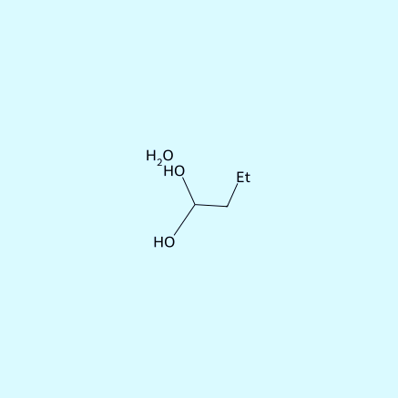 CCCC(O)O.O